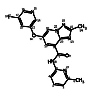 Cc1cccc(NC(=O)c2cc(Oc3cncc(F)c3)cn3nc(C)nc23)n1